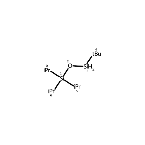 CC(C)[Si](O[SiH2]C(C)(C)C)(C(C)C)C(C)C